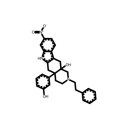 O=[N+]([O-])c1ccc2c3c([nH]c2c1)CC1(c2cccc(O)c2)CCN(CCc2ccccc2)CC1(O)C3